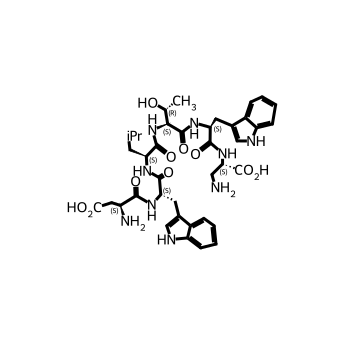 CC(C)C[C@H](NC(=O)[C@H](Cc1c[nH]c2ccccc12)NC(=O)[C@@H](N)CC(=O)O)C(=O)N[C@H](C(=O)N[C@@H](Cc1c[nH]c2ccccc12)C(=O)N[C@@H](CN)C(=O)O)[C@@H](C)O